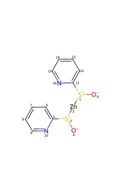 [O-][S+]([Zn][S+]([O-])c1ccccn1)c1ccccn1